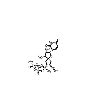 C[C@@]1(O)[C@H](O)[C@@](CN=[N+]=[N-])(COP(=O)(O)OP(=O)(O)OP(=O)(O)O)O[C@H]1n1ccc(=O)[nH]c1=O